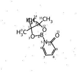 CC1(C)OB(n2ccccc2=O)OC1(C)C